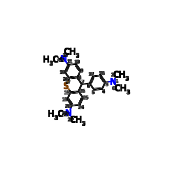 CN(C)c1ccc(C2c3ccc(N(C)C)cc3Sc3cc(N(C)C)ccc32)cc1